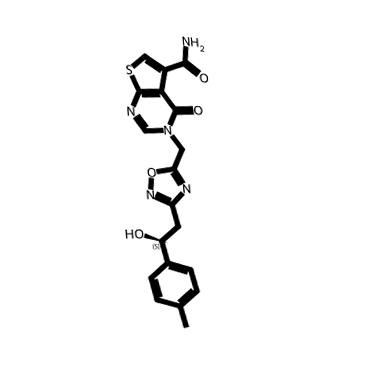 Cc1ccc([C@@H](O)Cc2noc(Cn3cnc4scc(C(N)=O)c4c3=O)n2)cc1